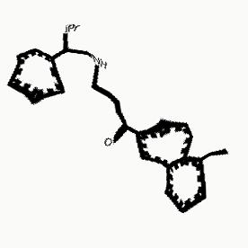 Cc1cccc2cc(C(=O)CCNC(c3ccccc3)C(C)C)ccc12